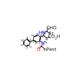 CCCCCC(=O)N(C)c1cc(-c2ccccc2)ccc1C(CC(=O)O)NC(C=O)CC